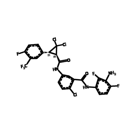 Nc1c(F)ccc(NC(=O)c2cc(NC(=O)[C@H]3[C@H](c4ccc(F)c(C(F)(F)F)c4)C3(Cl)Cl)ccc2Cl)c1F